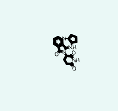 N[C@H]1CCC[C@@H]1NC1c2ccccc2C(=O)N1C1CCC(=O)NC1=O